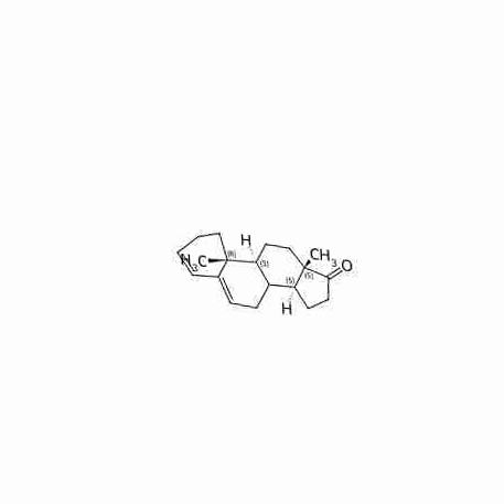 C[C@]12CCC=CC1=CCC1[C@@H]2CC[C@]2(C)C(=O)CC[C@@H]12